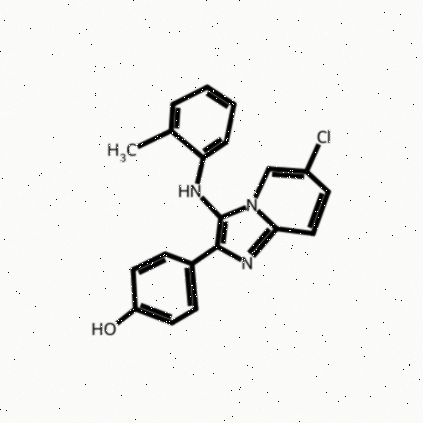 Cc1ccccc1Nc1c(-c2ccc(O)cc2)nc2ccc(Cl)cn12